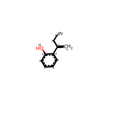 C=C(CC(C)C)c1ccccc1O